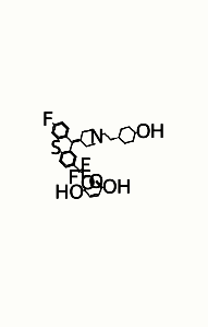 O=C(O)/C=C\C(=O)O.O[C@H]1CC[C@@H](CCN2CCC(=C3c4ccc(F)cc4Sc4ccc(C(F)(F)F)cc43)CC2)CC1